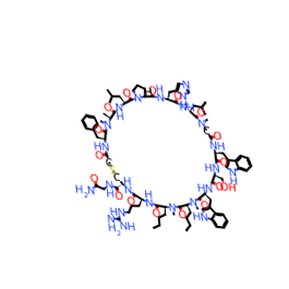 CCCC[C@H]1C(=O)N(C)[C@@H](CCCC)C(=O)N[C@@H](CCCNC(=N)N)C(=O)N[C@H](C(=O)NCC(N)=O)CSCC(=O)N[C@@H](Cc2ccccc2)C(=O)N(C)[C@@H](C)C(=O)N[C@@H](CC(C)C)C(=O)N2CCC[C@H]2C(=O)N[C@@H](Cc2cnc[nH]2)C(=O)N[C@@H](CC(C)C)C(=O)N(C)CC(=O)N[C@@H](Cc2c[nH]c3ccccc23)C(=O)N[C@@H](CO)C(=O)N[C@@H](Cc2c[nH]c3ccccc23)C(=O)N1C